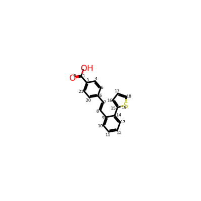 O=C(O)c1ccc(/C=C/c2ccccc2-c2cccs2)cc1